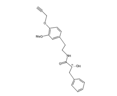 C#CCOc1ccc(CCNC(=O)[C@H](O)Cc2ccccc2)cc1OC